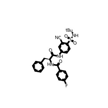 CC(C)(C)NS(=O)(=O)c1ccc(NC(=O)[C@H](Cc2ccccc2)NC(=O)c2ccc(F)cc2)cc1C#N